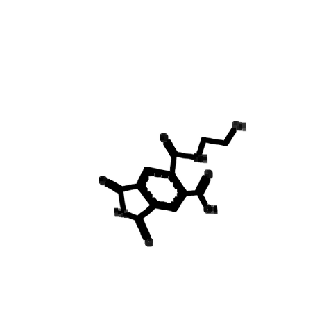 O=C(O)c1cc2c(cc1C(=O)NCCO)C(=O)NC2=O